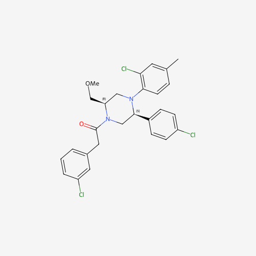 COC[C@H]1CN(c2ccc(C)cc2Cl)[C@@H](c2ccc(Cl)cc2)CN1C(=O)Cc1cccc(Cl)c1